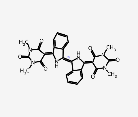 CN1C(=O)C(=c2[nH]/c(=c3/[nH]c(=C4C(=O)N(C)C(=O)N(C)C4=O)c4ccccc34)c3ccccc23)C(=O)N(C)C1=O